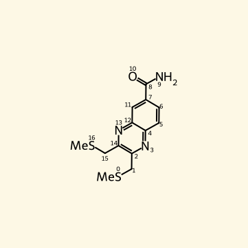 CSCc1nc2ccc(C(N)=O)cc2nc1CSC